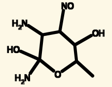 CC1OC(N)(O)C(N)C(N=O)C1O